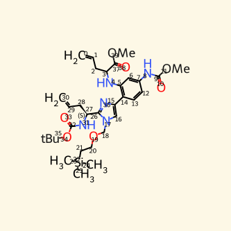 C=CCC(Nc1cc(NC(=O)OC)ccc1-c1cn(COCC[Si](C)(C)C)c([C@H](CC=C)NC(=O)OC(C)(C)C)n1)C(=O)OC